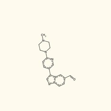 CN1CCN(c2ccc(-c3cnc4ccc(C=O)cn34)cn2)CC1